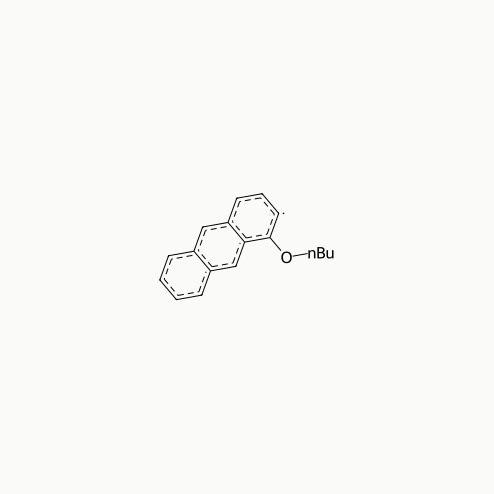 CCCCOc1[c]ccc2cc3ccccc3cc12